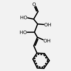 O=CC(O)C(O)C(O)C(O)=Cc1ccccc1